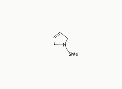 CSN1CC=CC1